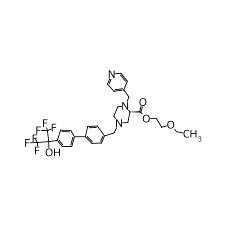 CCOCCOC(=O)[C@H]1CN(Cc2ccc(-c3ccc(C(O)(C(F)(F)F)C(F)(F)F)cc3)cc2)CCN1Cc1ccncc1